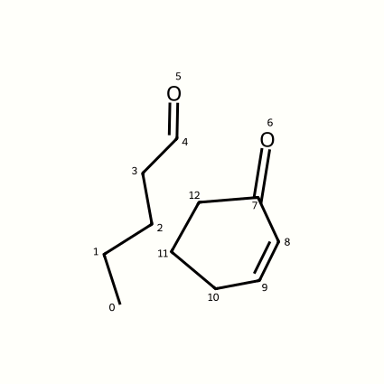 CCCCC=O.O=C1C=CCCC1